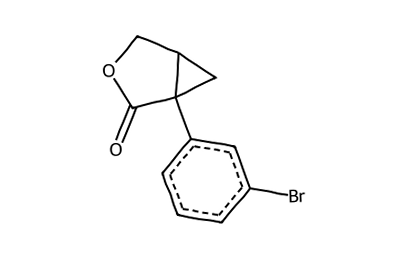 O=C1OCC2CC12c1cccc(Br)c1